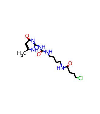 Cc1cc(=O)nc(NC(=O)NCCCCNC(=O)CCCCl)[nH]1